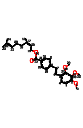 COc1ccc(C=Cc2ccc(C(=O)OCC=C(C)CCC=C(C)C)cc2)c(OC)c1OC